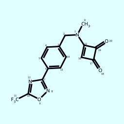 CN(Cc1ccc(-c2noc(C(F)(F)F)n2)cc1)c1cc(=O)c1=O